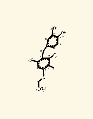 Cc1c(OCC(=O)O)cc(Cl)c(Cc2ccc(O)c(C(C)C)c2)c1Cl